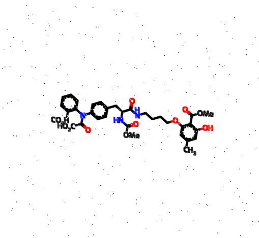 COC(=O)N[C@@H](Cc1ccc(N(C(=O)C(=O)O)c2ccccc2C(=O)O)cc1)C(=O)NCCCCOc1cc(C)cc(O)c1C(=O)OC